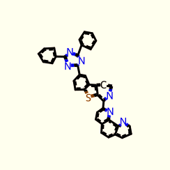 c1ccc(-c2nc(-c3ccccc3)nc(-c3ccc4sc5c(-c6ccc7ccc8cccnc8c7n6)nccc5c4c3)n2)cc1